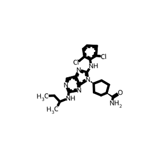 CCC(C)Nc1ncc2nc(Nc3c(Cl)cccc3Cl)n([C@H]3CC[C@H](C(N)=O)CC3)c2n1